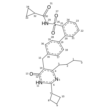 CCCCc1nc(C2CCC2)[nH]c(=O)c1Cc1ccc(-c2ccccc2S(=O)(=O)NC(=O)C2CC2)cc1